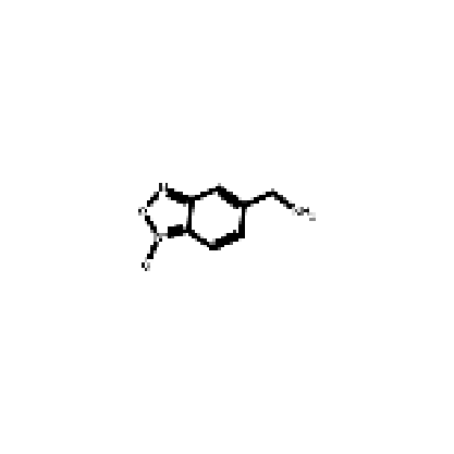 NCc1ccc2c(c1)no[n+]2[O-]